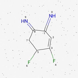 N=C1C=C(F)C(F)CC1=N